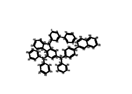 c1ccc(-c2cccc(-n3c4ccccc4c4c(N(c5ccccc5)c5ccccc5)cc(N(c5ccccc5)c5ccc(-c6ccc7ccccc7c6)cc5)cc43)c2)cc1